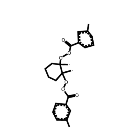 [CH2]C1(OOC(=O)c2cccc(C)c2)CCCCC1([CH2])OOC(=O)c1cccc(C)c1